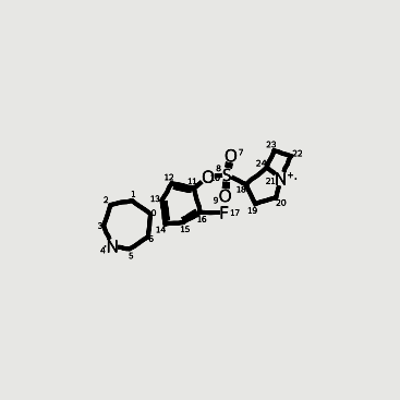 C1CCC[N]CC1.O=S(=O)(Oc1ccccc1F)C1CC[N+]2CCC12